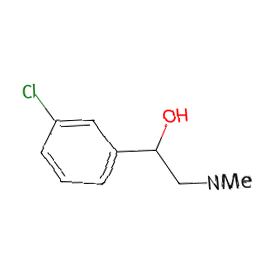 CNCC(O)c1cccc(Cl)c1